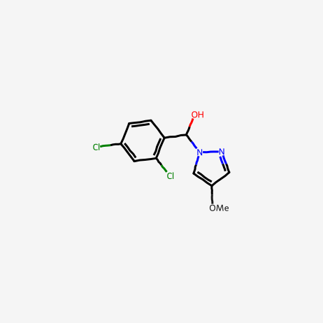 COc1cnn(C(O)c2ccc(Cl)cc2Cl)c1